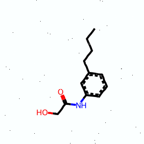 CCCCc1cccc(NC(=O)CO)c1